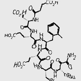 CCCC[C@H](NC(=O)[C@H](CC(C)C)NC(=O)[C@H](CCC(=O)O)NC(=O)[C@H](Cc1ccccc1C)NC(=O)[C@H](CCC(=O)O)NC(=O)[C@H](CC(=O)O)NC(=O)CCC(=O)O)C(=O)C(N)=O